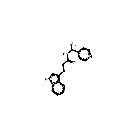 CC(NC(=O)CCc1c[nH]c2ccccc12)c1ccncc1